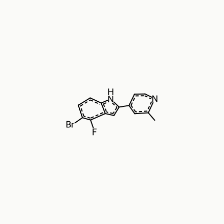 Cc1cc(-c2cc3c(F)c(Br)ccc3[nH]2)ccn1